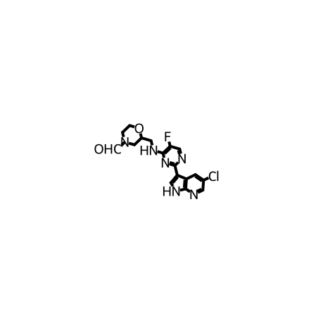 O=CN1CCOC(CNc2nc(-c3c[nH]c4ncc(Cl)cc34)ncc2F)C1